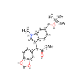 COC(=O)C(c1ccc2c(c1)OCO2)c1cn(C)c2cc(CO[Si](C(C)C)(C(C)C)C(C)C)ccc12